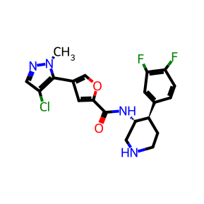 Cn1ncc(Cl)c1-c1coc(C(=O)N[C@H]2CNCC[C@@H]2c2ccc(F)c(F)c2)c1